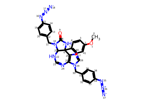 COc1ccc(C23NC(=O)N(Cc4ccc(N=[N+]=[N-])cc4)C2NC=Nc2c3ncn2Cc2ccc(N=[N+]=[N-])cc2)cc1